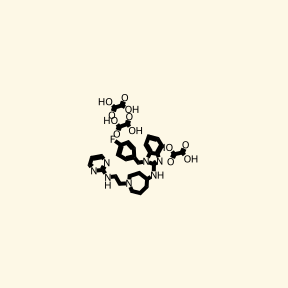 Fc1ccc(Cn2c(NC3CCCN(CCNc4ncccn4)CC3)nc3ccccc32)cc1.O=C(O)C(=O)O.O=C(O)C(=O)O.O=C(O)C(=O)O